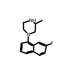 CC1CN(c2cccc3ccc(F)cc23)CCN1